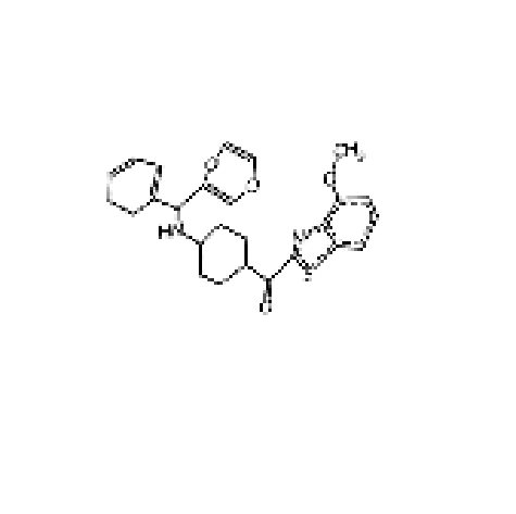 COc1cccc2sc(C(=O)C3CCC(NC(C4=CC=CCC4)C4=COC=CO4)CC3)nc12